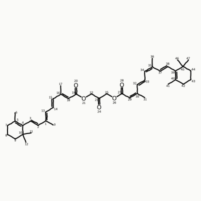 CC(C=CC1=C(C)CCCC1(C)C)=CC=CC(C)=CC(=O)OCC(=O)COC(=O)C=C(C)C=CC=C(C)C=CC1=C(C)CCCC1(C)C